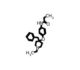 CCC(=O)Nc1ccc(OC2(Cc3ccccc3)CCN(CC)CC2)cc1